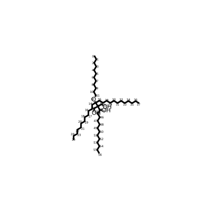 CCCCCCCCCCCCOC(CCCCCCCCCCCC)(CCCCCCCCCCCC)C(CO)(CO)C(O)CCCCCCCCCCCC